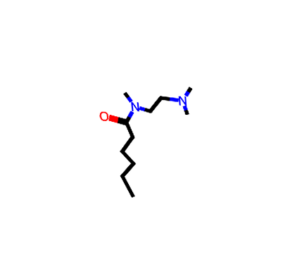 CCCCCC(=O)N(C)CCN(C)C